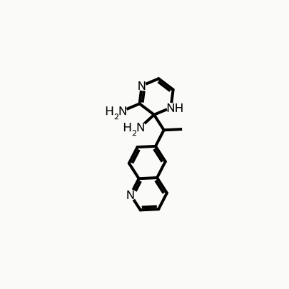 CC(c1ccc2ncccc2c1)C1(N)NC=CN=C1N